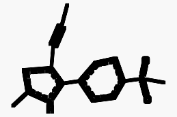 CC#Cc1cc(C)[nH]c1-c1ccc(S(C)(=O)=O)cc1